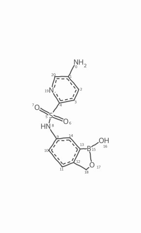 Nc1ccc(S(=O)(=O)Nc2ccc3c(c2)B(O)OC3)nc1